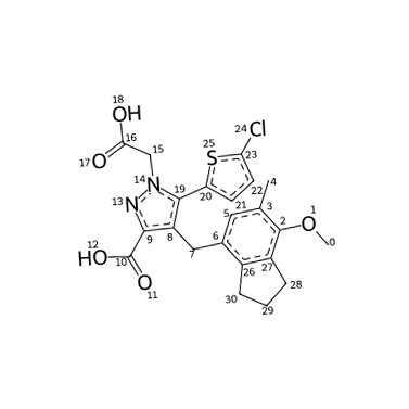 COc1c(C)cc(Cc2c(C(=O)O)nn(CC(=O)O)c2-c2ccc(Cl)s2)c2c1CCC2